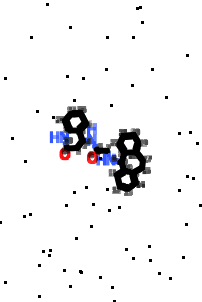 O=C1CC(NC(=O)CNC2c3ccccc3CCc3ccccc32)c2ccccc2N1